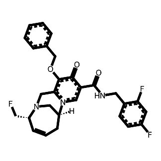 O=C(NCc1ccc(F)cc1F)c1cn2c(c(OCc3ccccc3)c1=O)CN1C[C@@H]2CC=C[C@@H]1CF